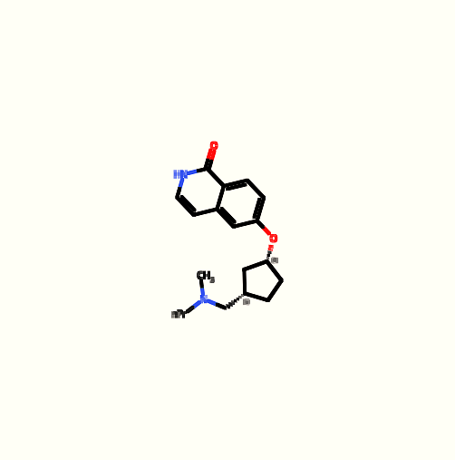 CCCN(C)C[C@H]1CC[C@@H](Oc2ccc3c(=O)[nH]ccc3c2)C1